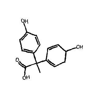 CC(C(=O)O)(C1=CCC(O)C=C1)c1ccc(O)cc1